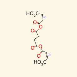 O=C(O)/C=C\C(=O)OC(=O)CCC(=O)OC(=O)/C=C\C(=O)O